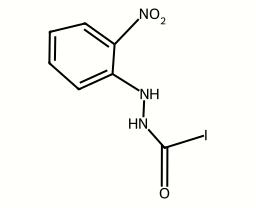 O=C(I)NNc1ccccc1[N+](=O)[O-]